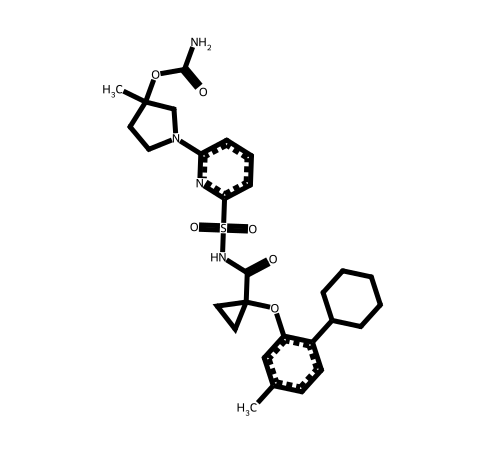 Cc1ccc(C2CCCCC2)c(OC2(C(=O)NS(=O)(=O)c3cccc(N4CCC(C)(OC(N)=O)C4)n3)CC2)c1